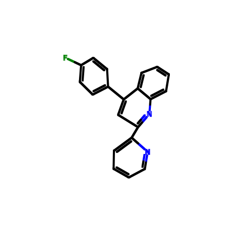 Fc1ccc(-c2cc(-c3ccccn3)nc3ccccc23)cc1